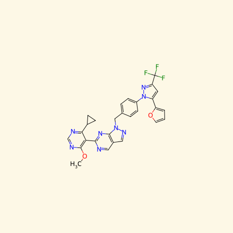 COc1ncnc(C2CC2)c1-c1ncc2cnn(Cc3ccc(-n4nc(C(F)(F)F)cc4-c4ccco4)cc3)c2n1